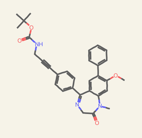 COc1cc2c(cc1-c1ccccc1)C(c1ccc(C#CCNC(=O)OC(C)(C)C)cc1)=NCC(=O)N2C